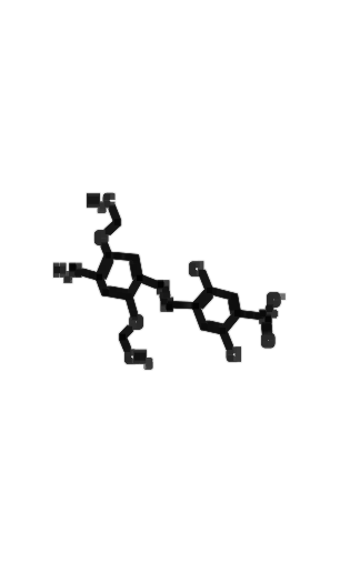 CCOc1cc(N=Nc2cc(Cl)c([N+](=O)[O-])cc2Cl)c(OCC)cc1N